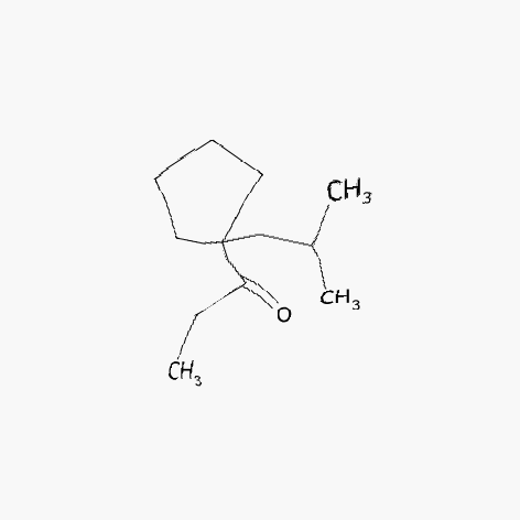 CCC(=O)C1(C(C)C)CCCC1